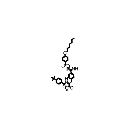 CCCCCCCOc1ccc(C(=O)ONC(=N)c2ccc(C[C@H](NC(=O)c3ccc(C(C)(C)C)cc3)C(=O)OC)cc2)cc1